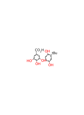 CC(C)(C)c1cc(O)ccc1O.O=C(O)c1cc(O)c(O)c(O)c1